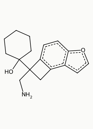 NCC1(C2(O)CCCCC2)Cc2c1ccc1occc21